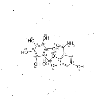 NC(=O)c1cc(O)ccc1OC(O)(O)c1c(O)c(O)c(O)c(O)c1O